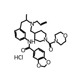 C=CCN(CC1CCN(C(=O)N2CCOCC2)CC1)C(C)Cc1cccc(NC(=O)c2ccc3c(c2)OCO3)c1.Cl